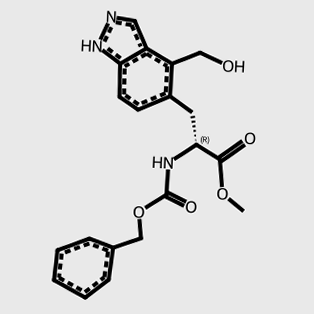 COC(=O)[C@@H](Cc1ccc2[nH]ncc2c1CO)NC(=O)OCc1ccccc1